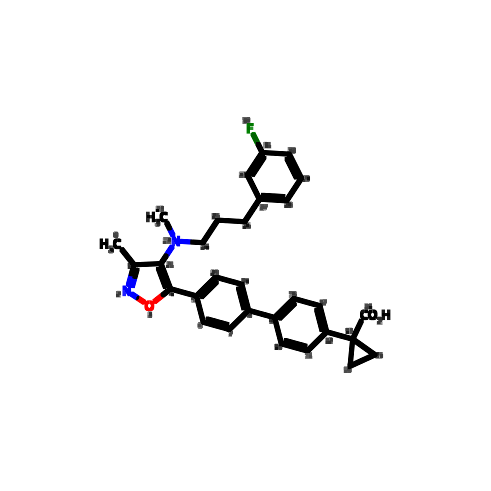 Cc1noc(-c2ccc(-c3ccc(C4(C(=O)O)CC4)cc3)cc2)c1N(C)CCCc1cccc(F)c1